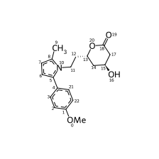 COc1ccc(-c2ccc(C)n2CC[C@H]2C[C@H](O)CC(=O)O2)cc1